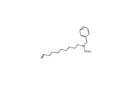 C=CCCCCCCCCN(CCCCCCCC)Cc1ccccc1